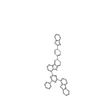 C1=CC(c2nc3ccccc3s2)CC=C1C1C=c2c(sc3c(-c4nc(-c5ccccc5)nc(-c5cccc6c5sc5ccccc56)n4)cccc23)=CC1